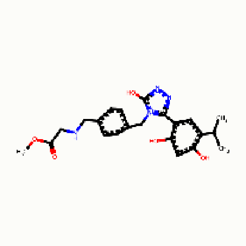 COC(=O)CNCc1ccc(Cn2c(O)nnc2-c2cc(C(C)C)c(O)cc2O)cc1